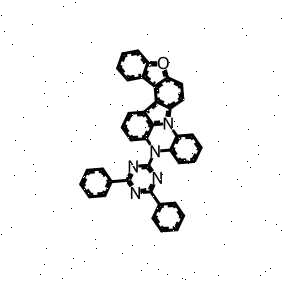 c1ccc(-c2nc(-c3ccccc3)nc(N3c4ccccc4-n4c5ccc6oc7ccccc7c6c5c5cccc3c54)n2)cc1